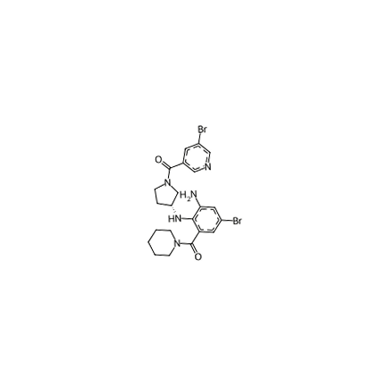 Nc1cc(Br)cc(C(=O)N2CCCCC2)c1N[C@@H]1CCN(C(=O)c2cncc(Br)c2)C1